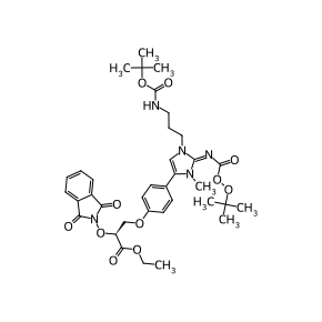 CCOC(=O)[C@H](COc1ccc(-c2cn(CCCNC(=O)OC(C)(C)C)/c(=N/C(=O)OOC(C)(C)C)n2C)cc1)ON1C(=O)c2ccccc2C1=O